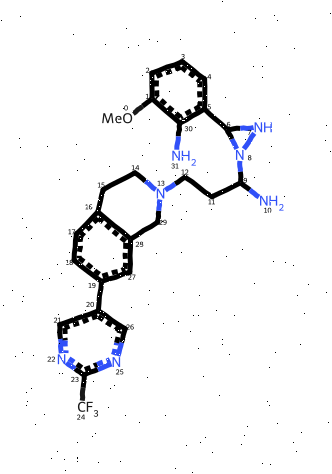 COc1cccc(C2NN2C(N)CCN2CCc3ccc(-c4cnc(C(F)(F)F)nc4)cc3C2)c1N